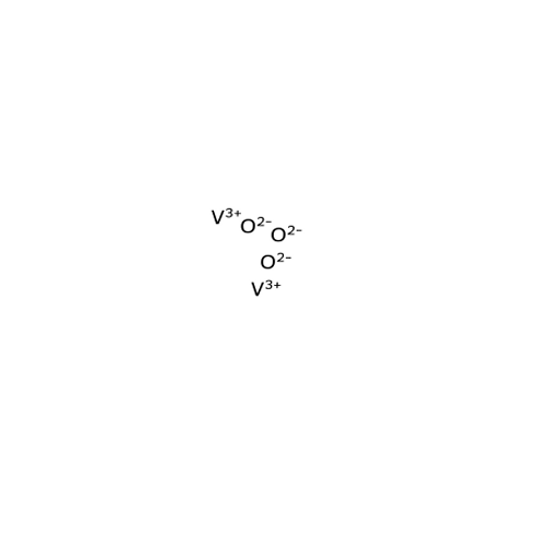 [O-2].[O-2].[O-2].[V+3].[V+3]